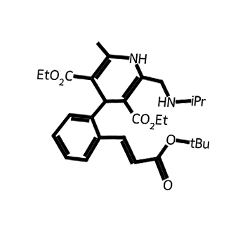 CCOC(=O)C1=C(C)NC(CNC(C)C)=C(C(=O)OCC)C1c1ccccc1C=CC(=O)OC(C)(C)C